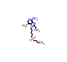 CCCCS(=O)(=O)CCCCCn1c(CC)nc2c(N)ncc(C)c21